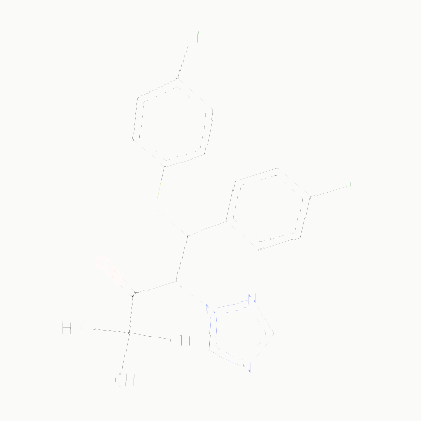 CC(C)(C)C(=O)C(C(Sc1ccc(Cl)cc1)c1ccc(Cl)cc1)n1cncn1